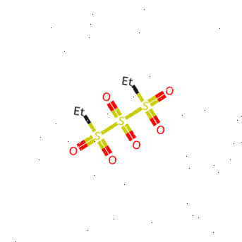 CCS(=O)(=O)S(=O)(=O)S(=O)(=O)CC